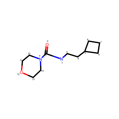 O=C([N]CCC1CCC1)N1CCOCC1